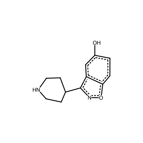 Oc1ccc2onc(C3CCNCC3)c2c1